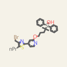 CCCc1sc(-c2ccnc(OCCCC(C)(C)[Si](O)(c3ccccc3)c3ccccc3)c2)nc1CBr